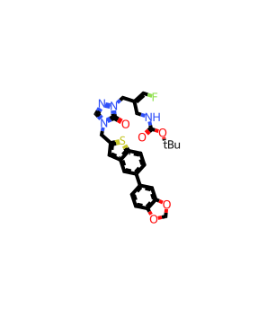 CC(C)(C)OC(=O)NC/C(=C\F)Cn1ncn(Cc2cc3cc(-c4ccc5c(c4)OCO5)ccc3s2)c1=O